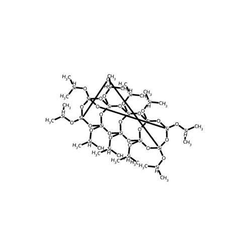 C[SiH](C)O[Si]12O[Si]3(O[SiH](C)C)O[Si]4(O[SiH](C)C)O[Si](O[SiH](C)C)(O1)O[Si]1(O[SiH](C)C)O[Si](O[SiH](C)C)(O4)O[Si]4(O[SiH](C)C)O[Si](O[SiH](C)C)(O[Si](O[SiH](C)C)(O[Si](O[SiH](C)C)(O3)O4)O2)O1